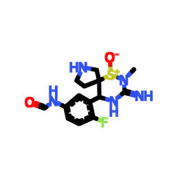 CN1C(=N)NC(c2cc(NC=O)ccc2F)C2(CCNC2)[S+]1[O-]